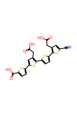 N#Cc1cc(CC(=O)O)c(-c2ccc(-c3sc(-c4ccc(C(=O)O)s4)cc3CC(=O)O)s2)s1